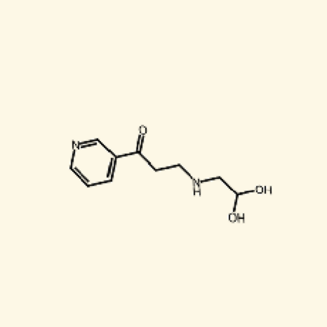 O=C(CCNCC(O)O)c1cccnc1